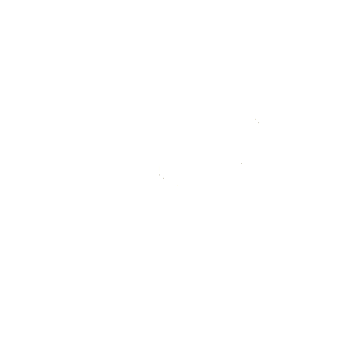 O=C(NCCCCC1CCCCC1)OC(=O)C(CCC=CI)(c1ccccc1)c1ncco1